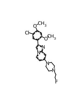 COc1cc(OC)c(-c2cn3ccc(N4CCN(CCF)CC4)cc3n2)cc1Cl